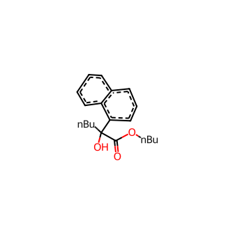 CCCCOC(=O)C(O)(CCCC)c1cccc2ccccc12